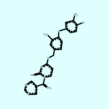 C=C(c1cncnc1)n1ccc(OCc2ccc(Oc3ccc(Cl)c(C(F)(F)F)c3)c(C(F)(F)F)c2)nc1=N